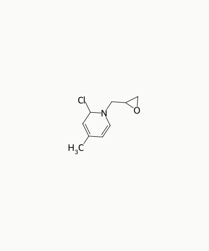 CC1=CC(Cl)N(CC2CO2)C=C1